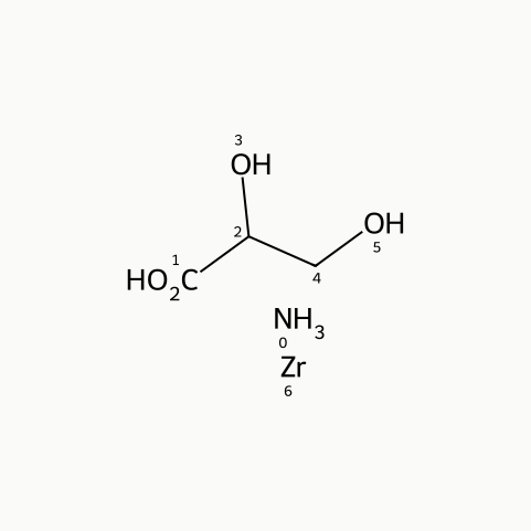 N.O=C(O)C(O)CO.[Zr]